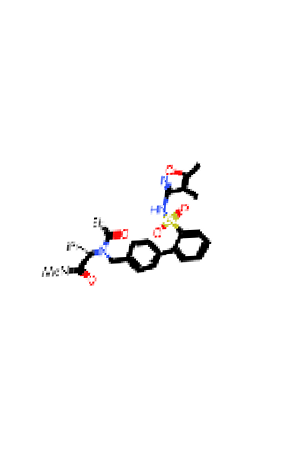 CCC(=O)N(Cc1ccc(-c2ccccc2S(=O)(=O)Nc2noc(C)c2C)cc1)[C@H](C(=O)NC)C(C)C